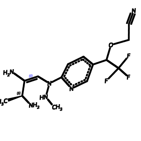 CNN(/C=C(/N)[C@H](C)N)c1ccc(C(OCC#N)C(F)(F)F)cn1